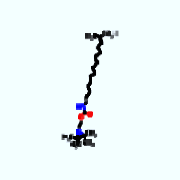 CC(=CCCCCCCCCCCCCNC(=O)OCCN1C(C)(C)C1(C)C)C(=O)O